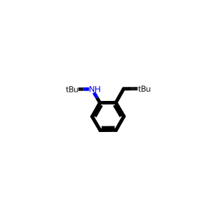 CC(C)(C)Cc1ccccc1NC(C)(C)C